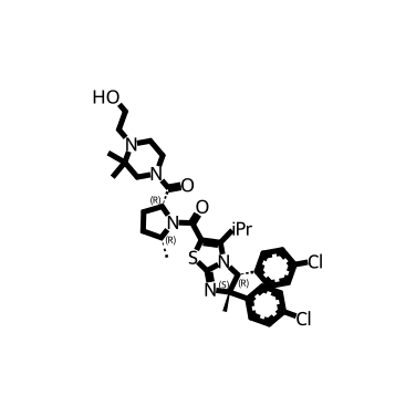 CC(C)C1=C(C(=O)N2[C@H](C)CC[C@@H]2C(=O)N2CCN(CCO)C(C)(C)C2)SC2=N[C@@](C)(c3ccc(Cl)cc3)[C@@H](c3ccc(Cl)cc3)N21